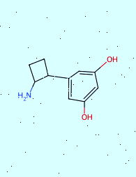 NC1CCC1c1cc(O)cc(O)c1